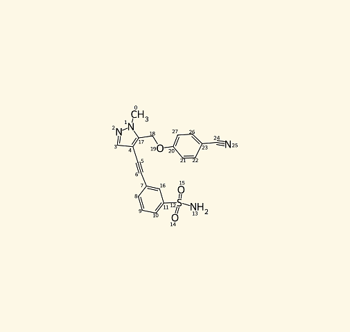 Cn1ncc(C#Cc2cccc(S(N)(=O)=O)c2)c1COc1ccc(C#N)cc1